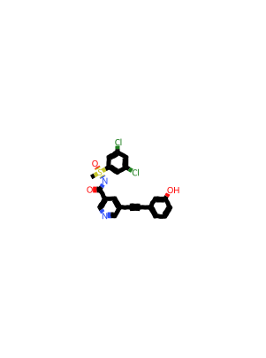 CS(=O)(=NC(=O)c1cncc(C#Cc2cccc(O)c2)c1)c1cc(Cl)cc(Cl)c1